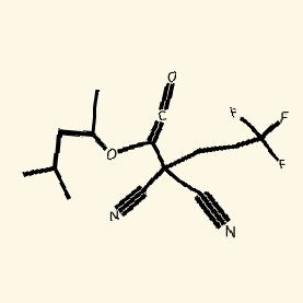 CC(C)CC(C)OC(=C=O)C(C#N)(C#N)CCC(F)(F)F